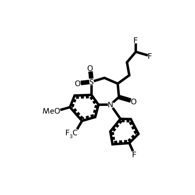 COc1cc2c(cc1C(F)(F)F)N(c1ccc(F)cc1)C(=O)C(CCC(F)F)CS2(=O)=O